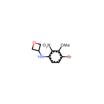 COc1c(Br)ccc(NC2COC2)c1[N+](=O)[O-]